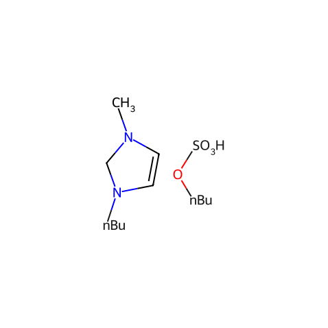 CCCCN1C=CN(C)C1.CCCCOS(=O)(=O)O